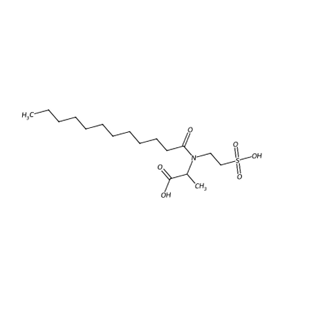 CCCCCCCCCCCC(=O)N(CCS(=O)(=O)O)C(C)C(=O)O